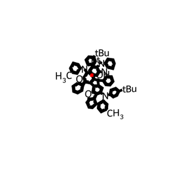 CCN1c2ccccc2N(c2ccccc2C2(O)c3cc(N(c4ccc(C(C)(C)C)cc4)c4cccc(C)c4)c4c(oc5ccccc54)c3-c3c2cc(N(c2ccc(C(C)(C)C)cc2)c2cccc(C)c2)c2oc4ccccc4c32)c2ccccc21